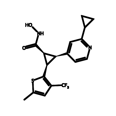 Cc1cc(C(F)(F)F)c([C@H]2[C@@H](C(=O)NO)[C@@H]2c2ccnc(C3CC3)c2)s1